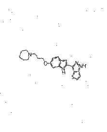 c1cc2[nH]nc(-c3cc4ccc(OCCCN5CCCCC5)cc4[nH]3)c2s1